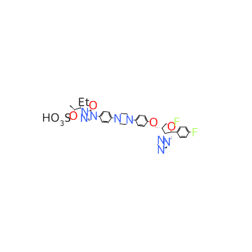 CC[C@@H]([C@H](C)OS(=O)(=O)O)n1ncn(-c2ccc(N3CCN(c4ccc(OC[C@@H]5CO[C@@](Cn6cncn6)(c6ccc(F)cc6F)C5)cc4)CC3)cc2)c1=O